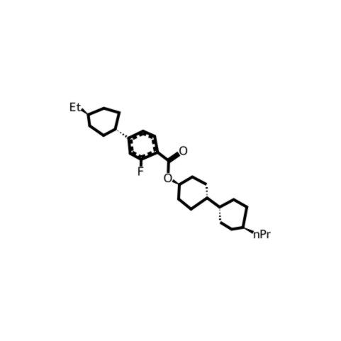 CCC[C@H]1CC[C@H]([C@H]2CC[C@H](OC(=O)c3ccc([C@H]4CC[C@H](CC)CC4)cc3F)CC2)CC1